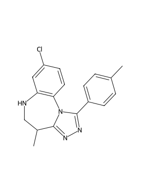 Cc1ccc(-c2nnc3n2-c2ccc(Cl)cc2NCC3C)cc1